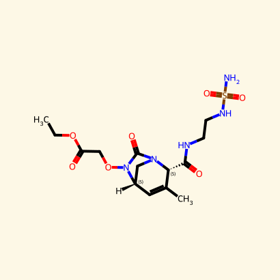 CCOC(=O)CON1C(=O)N2C[C@@H]1C=C(C)[C@H]2C(=O)NCCNS(N)(=O)=O